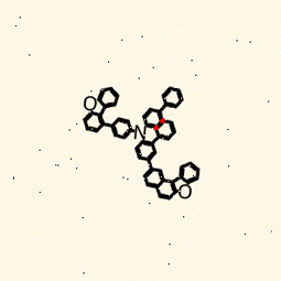 c1ccc(-c2ccc(N(c3ccc(-c4cccc5oc6ccccc6c45)cc3)c3ccc(-c4ccc5ccc6oc7ccccc7c6c5c4)cc3-c3ccccc3)cc2)cc1